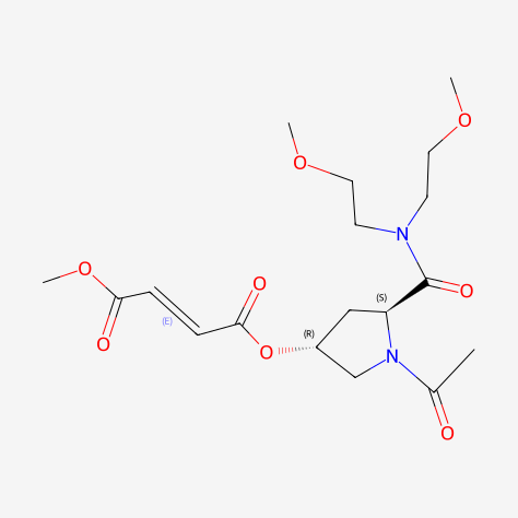 COCCN(CCOC)C(=O)[C@@H]1C[C@@H](OC(=O)/C=C/C(=O)OC)CN1C(C)=O